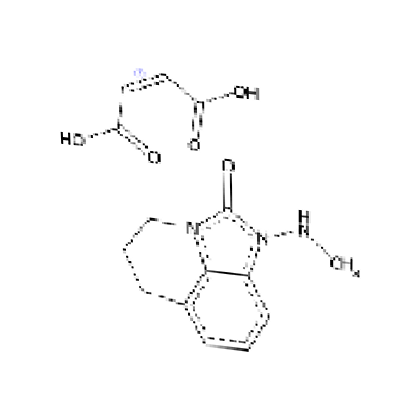 CNn1c(=O)n2c3c(cccc31)CCC2.O=C(O)/C=C\C(=O)O